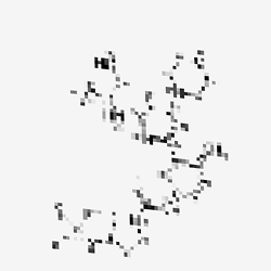 Cc1ccc(NC(=O)N2CC[C@@H](CC(F)(F)F)C2)cc1-c1cc(N2CCOCC2)nc(N[C@@H](C)CO)n1